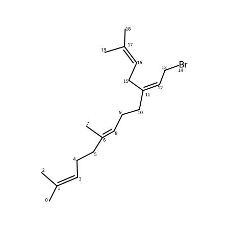 CC(C)=CCC/C(C)=C/CC/C(=C/CBr)CC=C(C)C